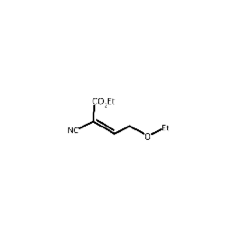 CCOC/C=C(/C#N)C(=O)OCC